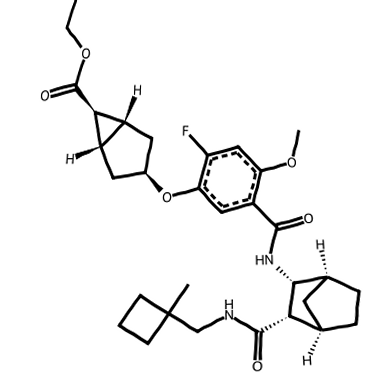 CCOC(=O)[C@H]1[C@@H]2C[C@@H](Oc3cc(C(=O)N[C@@H]4[C@H]5CC[C@H](C5)[C@@H]4C(=O)NCC4(C)CCC4)c(OC)cc3F)C[C@@H]21